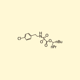 CCCCC(CCC)OC(=O)S(=O)(=O)NCCc1ccc(Cl)cc1